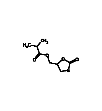 CC(C)C(=O)OCC1CSC(=O)O1